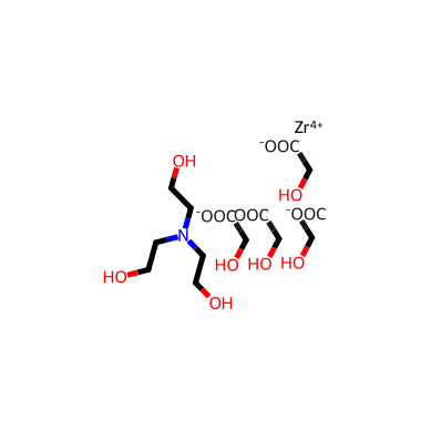 O=C([O-])CO.O=C([O-])CO.O=C([O-])CO.O=C([O-])CO.OCCN(CCO)CCO.[Zr+4]